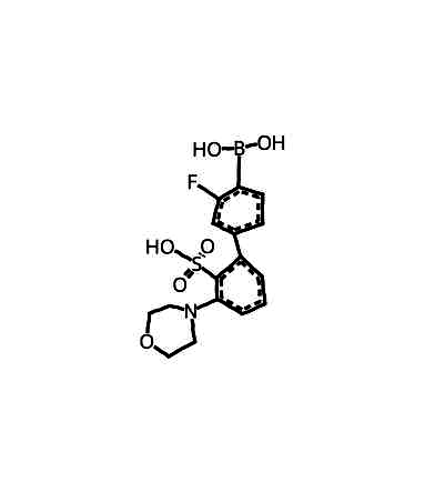 O=S(=O)(O)c1c(-c2ccc(B(O)O)c(F)c2)cccc1N1CCOCC1